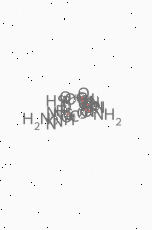 Nc1ncnc2c1ncn2[C@@H]1O[C@@]23CO[C@@H]1[C@@H]2O[P@](=O)(S)OCC[C@@H]1C[C@@H](O[P@](=O)(S)OC3)[C@H](n2cnc3c(N)ncnc32)O1